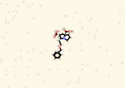 O=C(O)[C@@H]1C[C@]2(C(=O)O)CCCN2[C@@H]1CCOCc1ccccc1